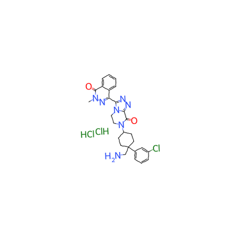 Cl.Cl.Cn1nc(-c2nnc3n2CCN(C2CCC(CN)(c4cccc(Cl)c4)CC2)C3=O)c2ccccc2c1=O